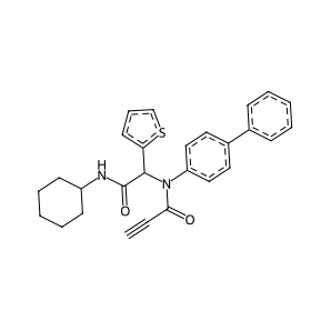 C#CC(=O)N(c1ccc(-c2ccccc2)cc1)C(C(=O)NC1CCCCC1)c1cccs1